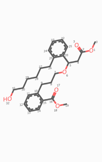 COC(=O)CC(OCCCc1ccccc1C(=O)OC)c1ccccc1CCCCCCO